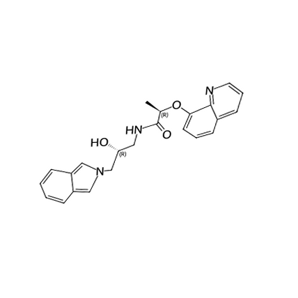 C[C@@H](Oc1cccc2cccnc12)C(=O)NC[C@@H](O)Cn1cc2ccccc2c1